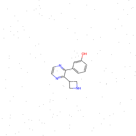 Oc1cccc(-c2nccnc2C2CNC2)c1